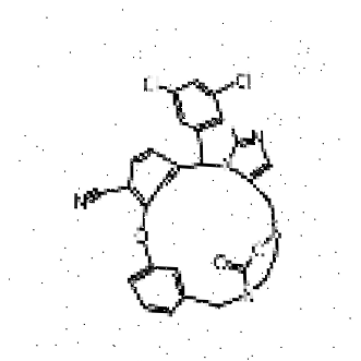 Cc1ncc2n1C(c1cc(Cl)cc(Cl)c1)c1ccc(C#N)c(c1)Oc1cccc(c1)CN1CCN(CC1=O)C2